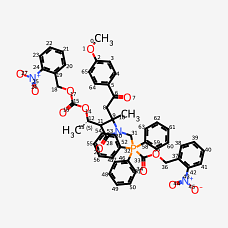 COc1ccc(C(=O)CC2(C)C([C@H](C)OC(=O)OCc3ccccc3[N+](=O)[O-])C(=O)N2CP(C(=O)OCc2ccccc2[N+](=O)[O-])(c2ccccc2)(c2ccccc2)c2ccccc2)cc1